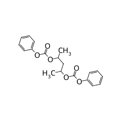 CC(CC(C)OC(=O)Oc1ccccc1)OC(=O)Oc1ccccc1